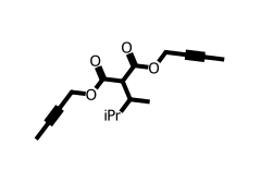 CC#CCOC(=O)C(C(=O)OCC#CC)C(C)C(C)C